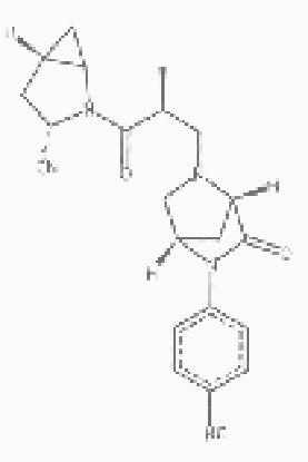 [C-]#[N+]c1ccc(N2C(=O)[C@@H]3C[C@H]2CN3C[C@H](C)C(=O)N2C3C[C@H]3C[C@H]2C#N)cc1